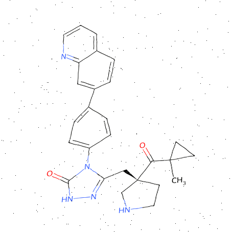 CC1(C(=O)[C@]2(Cc3n[nH]c(=O)n3-c3ccc(-c4ccc5cccnc5c4)cc3)CCNC2)CC1